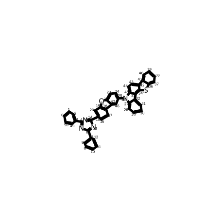 c1ccc(-c2nc(-c3ccccc3)nc(-c3ccc4c(c3)oc3ccc(-n5c6ccccc6c6c7sc8ccccc8c7ccc65)cc34)n2)cc1